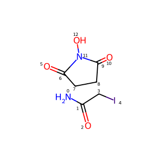 NC(=O)CI.O=C1CCC(=O)N1O